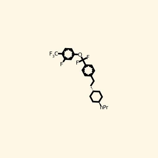 CCC[C@H]1CC[C@H](CCc2ccc(C(F)(F)Oc3ccc(C(F)(F)F)c(F)c3)cc2)CC1